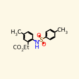 CCOC(=O)c1cc(C)ccc1NS(=O)(=O)c1ccc(C)cc1